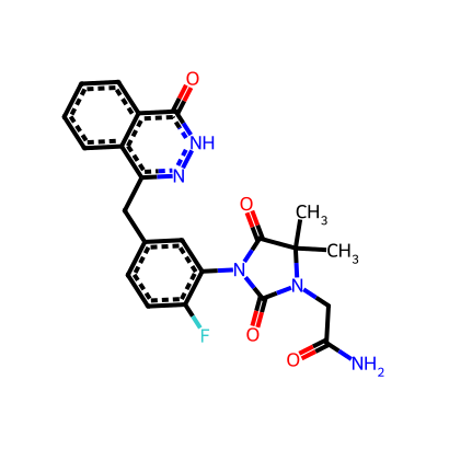 CC1(C)C(=O)N(c2cc(Cc3n[nH]c(=O)c4ccccc34)ccc2F)C(=O)N1CC(N)=O